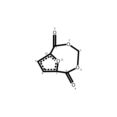 O=C1OCOC(=O)c2ccc1o2